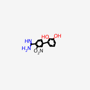 N=C(N)c1ccc(-c2cccc(O)c2O)cc1[N+](=O)[O-]